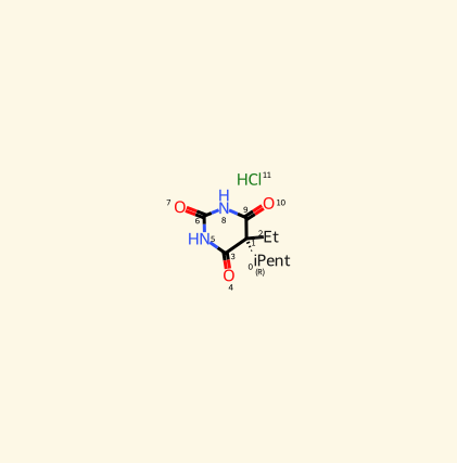 CCC[C@@H](C)C1(CC)C(=O)NC(=O)NC1=O.Cl